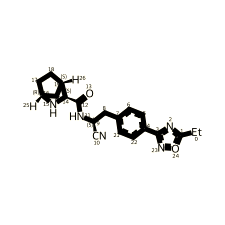 CCc1nc(-c2ccc(C[C@@H](C#N)NC(=O)[C@H]3N[C@@H]4CC[C@H]3C4)cc2)no1